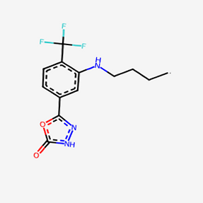 [CH2]CCCNc1cc(-c2n[nH]c(=O)o2)ccc1C(F)(F)F